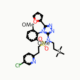 COc1cccc(OC)c1-n1c(-c2ccco2)nnc1N(CC[Si](C)(C)C)S(=O)(=O)CCc1ccc(Cl)cn1